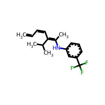 C=C/C=C\C(=C(/C)Nc1cccc(C(F)(F)F)c1)C(C)C